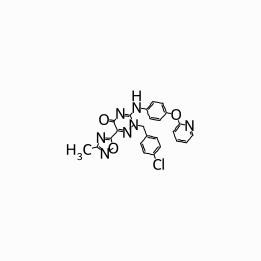 Cc1noc(-c2nn(Cc3ccc(Cl)cc3)c(Nc3ccc(Oc4ccccn4)cc3)nc2=O)n1